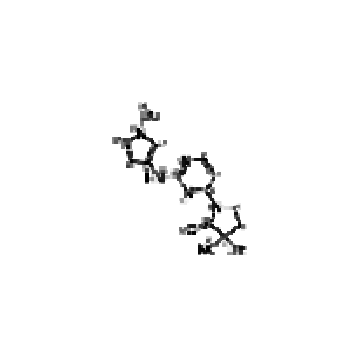 CCC1(C#N)CCN(c2ccnc(Nc3cnn(C(C)(C)C)c3)n2)C1=O